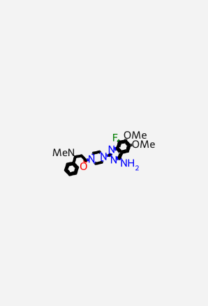 CN[C@H](CC(=O)N1CCN(c2nc(N)c3cc(OC)c(OC)c(F)c3n2)CC1)c1ccccc1